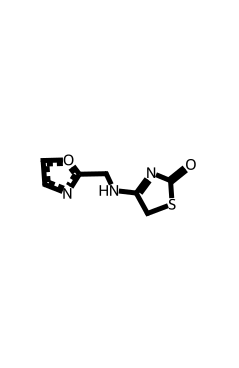 O=C1N=C(NCc2ncco2)CS1